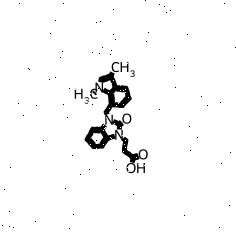 Cc1cn(C)c2c(Cn3c(=O)n(CCC(=O)O)c4ccccc43)cccc12